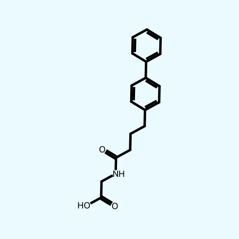 O=C(O)CNC(=O)CCCc1ccc(-c2ccccc2)cc1